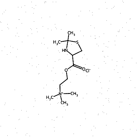 CC1(C)NC(C(=O)OCC[N+](C)(C)C)CS1.[Cl-]